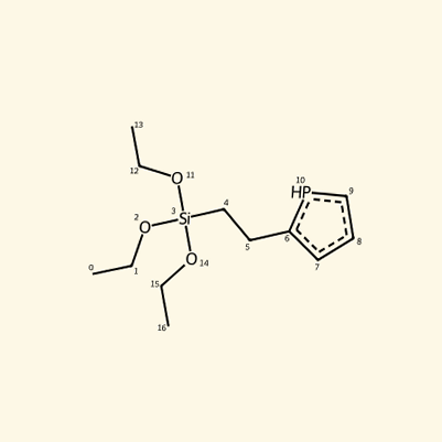 CCO[Si](CCc1ccc[pH]1)(OCC)OCC